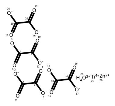 O=C([O-])C(=O)[O-].O=C([O-])C(=O)[O-].O=C([O-])C(=O)[O-].O=C([O-])C(=O)[O-].[OH4+2].[Ti+4].[Zn+2]